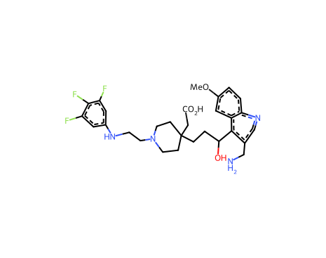 COc1ccc2ncc(CN)c(C(O)CCC3(CC(=O)O)CCN(CCNc4cc(F)c(F)c(F)c4)CC3)c2c1